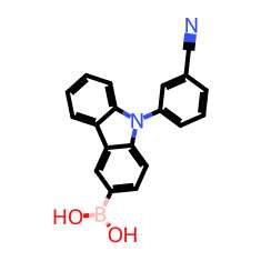 N#Cc1cccc(-n2c3ccccc3c3cc(B(O)O)ccc32)c1